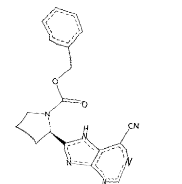 N#Cc1ncnc2nc([C@H]3CCCN3C(=O)OCc3ccccc3)[nH]c12